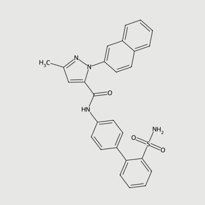 Cc1cc(C(=O)Nc2ccc(-c3ccccc3S(N)(=O)=O)cc2)n(-c2ccc3ccccc3c2)n1